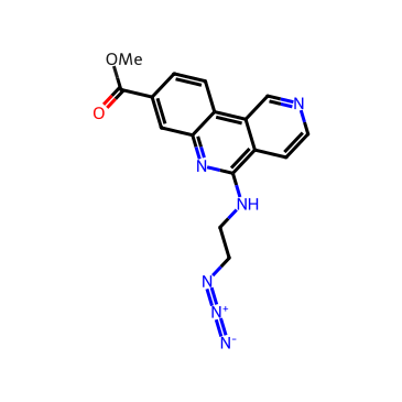 COC(=O)c1ccc2c(c1)nc(NCCN=[N+]=[N-])c1ccncc12